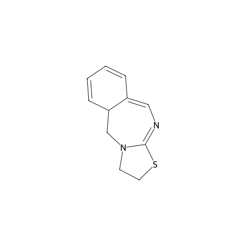 C1=CC2=CN=C3SCCN3CC2C=C1